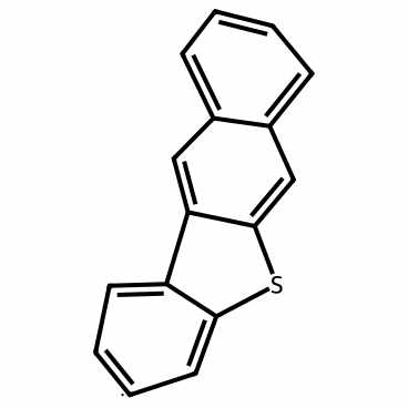 [c]1ccc2c(c1)sc1cc3ccccc3cc12